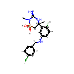 CN1C(=N)N[C@](C)(c2cc(NCc3ccc(F)cc3)ccc2F)CS1(=O)=O